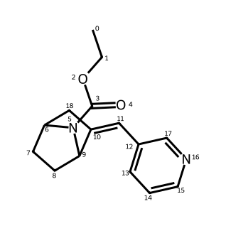 CCOC(=O)N1C2CCC1/C(=C\c1cccnc1)C2